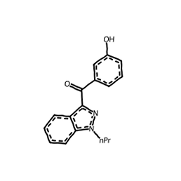 CCCn1nc(C(=O)c2cccc(O)c2)c2ccccc21